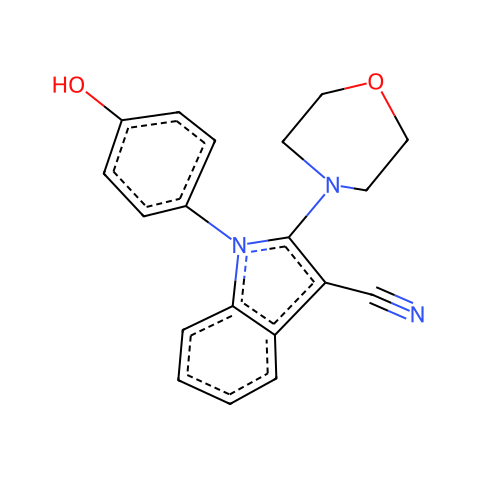 N#Cc1c(N2CCOCC2)n(-c2ccc(O)cc2)c2ccccc12